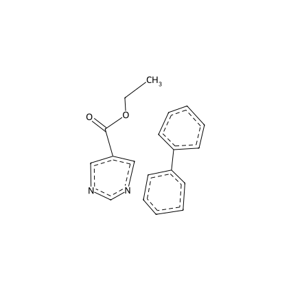 CCOC(=O)c1cncnc1.c1ccc(-c2ccccc2)cc1